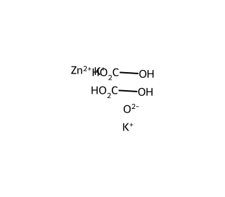 O=C(O)O.O=C(O)O.[K+].[K+].[O-2].[Zn+2]